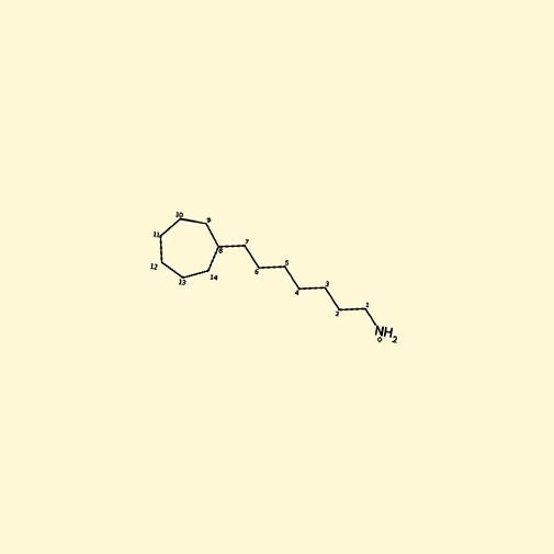 NCCCCCCCC1CCCCCC1